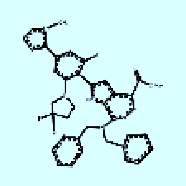 COC(=O)c1cnc(N(Cc2ccccc2)Cc2ccccc2)c2[nH]c(-c3c(F)cc(-c4nccn4C)cc3N3CCC(F)(F)C3)cc12